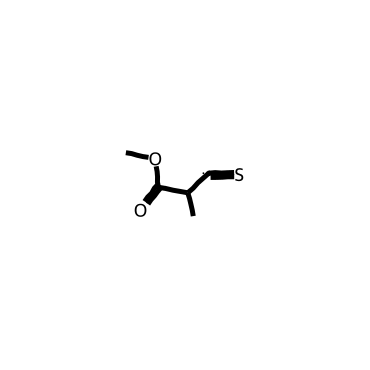 COC(=O)C(C)[C]=S